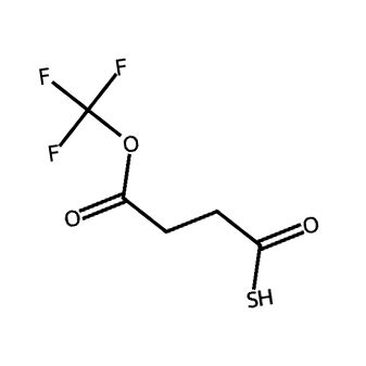 O=C(S)CCC(=O)OC(F)(F)F